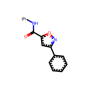 CC(C)NC(=O)c1cc(-c2ccccc2)no1